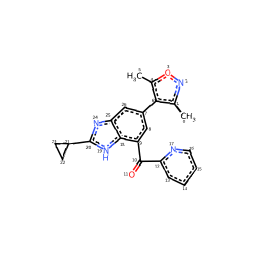 Cc1noc(C)c1-c1cc(C(=O)c2ccccn2)c2[nH]c(C3CC3)nc2c1